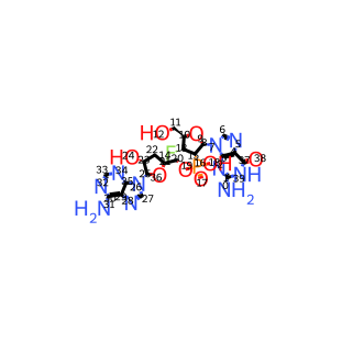 Nc1nc2c(ncn2[C@@H]2O[C@H](CO)[C@@H](F)[C@H]2P(=O)(O)OCC2C[C@@H](O)[C@H](n3cnc4c(N)ncnc43)O2)c(=O)[nH]1